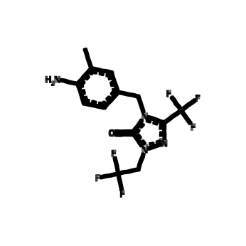 Cc1cc(Cn2c(C(F)(F)F)nn(CC(F)(F)F)c2=O)ccc1N